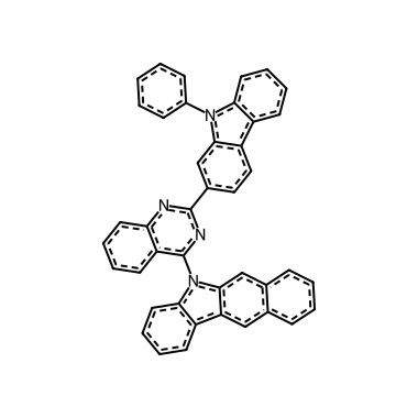 c1ccc(-n2c3ccccc3c3ccc(-c4nc(-n5c6ccccc6c6cc7ccccc7cc65)c5ccccc5n4)cc32)cc1